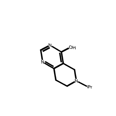 CC(C)N1CCc2ncnc(O)c2C1